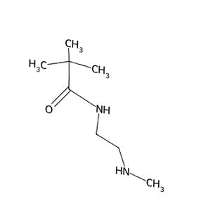 CNCCNC(=O)C(C)(C)C